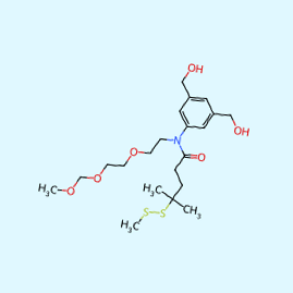 COCOCCOCCN(C(=O)CCC(C)(C)SSC)c1cc(CO)cc(CO)c1